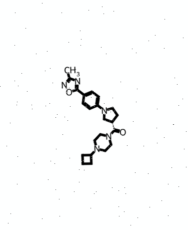 Cc1noc(-c2ccc(N3CC[C@H](C(=O)N4CCN(C5CCC5)CC4)C3)cc2)n1